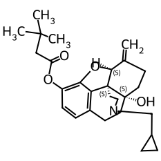 C=C1CC[C@@]2(O)C3Cc4ccc(OC(=O)CC(C)(C)C)c5c4[C@@]2(CCN3CC2CC2)[C@H]1O5